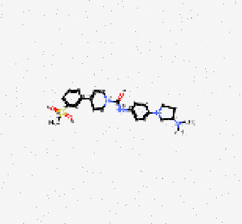 CN(C)C1CCN(c2ccc(NC(=O)N3CC=C(c4cccc(S(C)(=O)=O)c4)CC3)cc2)C1